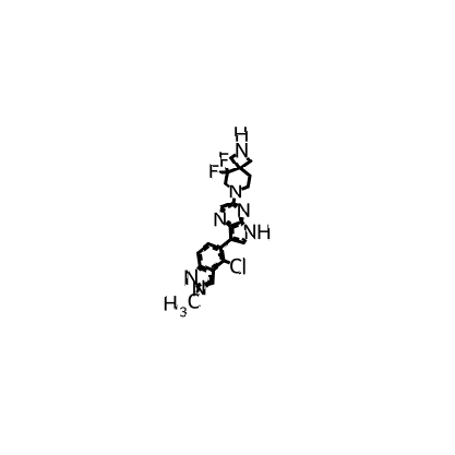 Cn1cc2c(Cl)c(-c3c[nH]c4nc(N5CCC6(CNC6)C(F)(F)C5)cnc34)ccc2n1